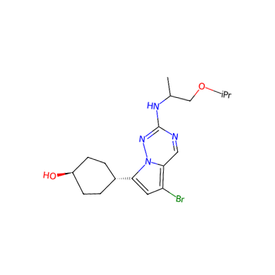 CC(COC(C)C)Nc1ncc2c(Br)cc([C@H]3CC[C@H](O)CC3)n2n1